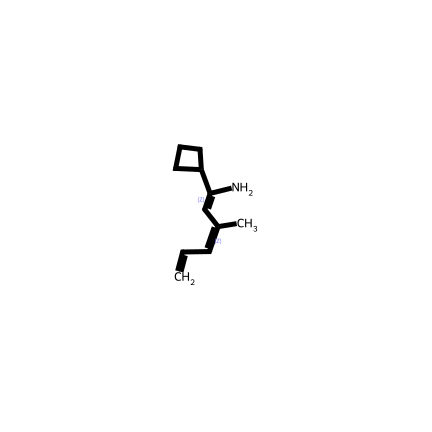 C=C/C=C(C)\C=C(/N)C1CCC1